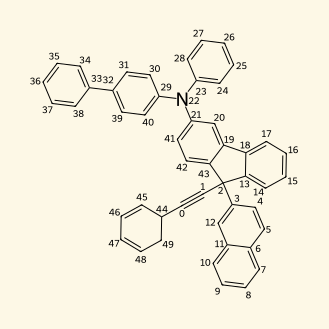 C(#CC1(c2ccc3ccccc3c2)c2ccccc2-c2cc(N(c3ccccc3)c3ccc(-c4ccccc4)cc3)ccc21)C1C=CC=CC1